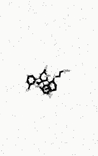 COCCOc1ccc(F)c(F)c1[C@@H]1NC(=O)C[C@H](c2cccc(Cl)c2)[C@@]12C(=O)Nc1cc(Cl)ccc12